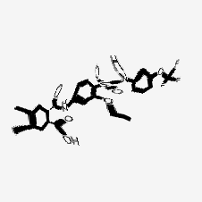 CCOc1cc(NC(=O)[C@H]2CC(C)=C(C)C[C@@H]2C(=O)O)ccc1S(=O)(=O)Nc1cccc(OC(F)(F)F)c1